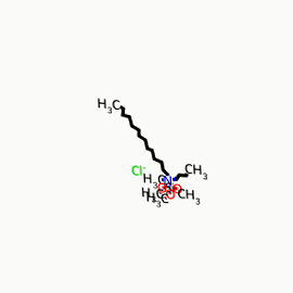 CCCCCCCCCCCCCC[N+](C)(CCCC)[Si](OC)(OC)OC.[Cl-]